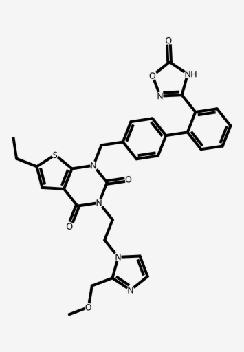 CCc1cc2c(=O)n(CCn3ccnc3COC)c(=O)n(Cc3ccc(-c4ccccc4-c4noc(=O)[nH]4)cc3)c2s1